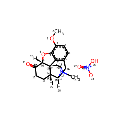 COc1ccc2c3c1O[C@H]1C(=O)CC[C@H]4[C@@H](C2)N(C)CC[C@]314.O=[N+]([O-])O